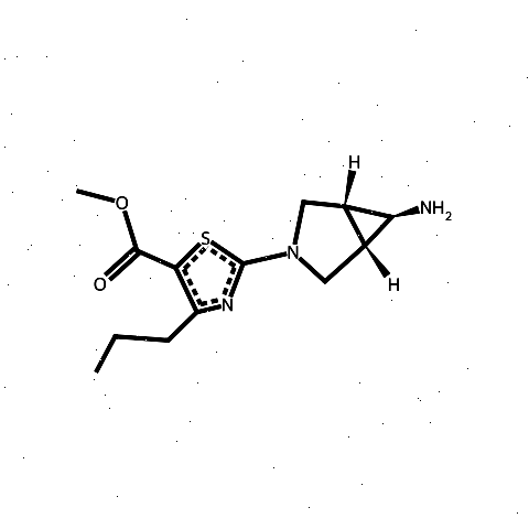 CCCc1nc(N2C[C@@H]3[C@@H](N)[C@@H]3C2)sc1C(=O)OC